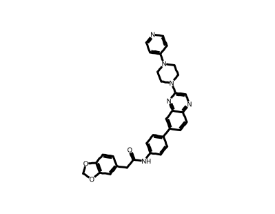 O=C(Cc1ccc2c(c1)OCO2)Nc1ccc(-c2ccc3ncc(N4CCN(c5ccncc5)CC4)nc3c2)cc1